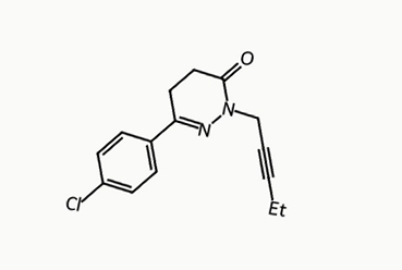 CCC#CCN1N=C(c2ccc(Cl)cc2)CCC1=O